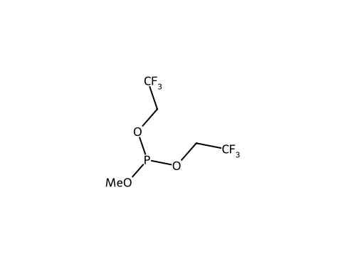 COP(OCC(F)(F)F)OCC(F)(F)F